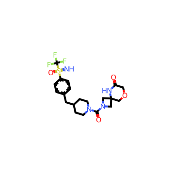 N=S(=O)(c1ccc(CC2CCN(C(=O)N3CC4(COCC(=O)N4)C3)CC2)cc1)C(F)(F)F